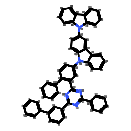 c1ccc(-c2cccc(-c3nc(-c4ccccc4)nc(-c4cc(-n5c6ccccc6c6cc(-n7c8ccccc8c8ccccc87)ccc65)ccc4-c4ccccc4)n3)c2)cc1